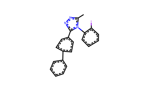 Cc1nnc(-c2ccc(-c3ccccc3)cc2)n1-c1ccccc1I